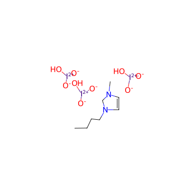 CCCCN1C=CN(C)C1.[O-][I+2]([O-])O.[O-][I+2]([O-])O.[O-][I+2]([O-])O